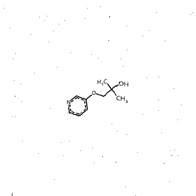 CC(C)(O)COc1cc[c]nc1